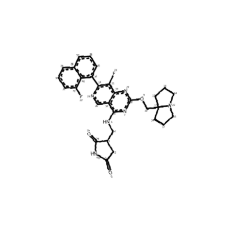 O=C1CC(CNc2nc(OCC34CCCN3CCC4)nc3c(F)c(-c4cccc5cccc(F)c45)ncc23)C(=O)N1